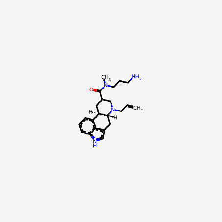 C=CCN1CC(C(=O)N(C)CCCN)C[C@@H]2c3cccc4[nH]cc(c34)C[C@H]21